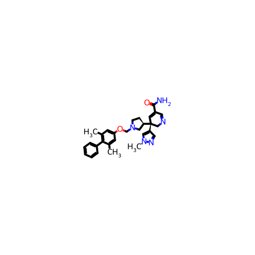 Cc1cc(OCN2CC[C@@H]([C@]3(c4cnn(C)c4)C=C(C(N)=O)C=NC3)C2)cc(C)c1-c1ccccc1